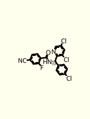 N#Cc1ccc(C(=O)N[C@@H](c2ccc(Cl)cc2)c2ncc(Cl)cc2Cl)c(F)c1